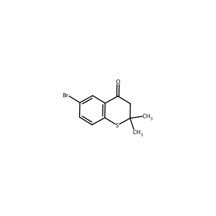 CC1(C)CC(=O)c2cc(Br)ccc2S1